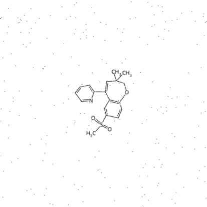 CC1(C)C=C(c2ccccn2)c2cc(S(C)(=O)=O)ccc2OC1